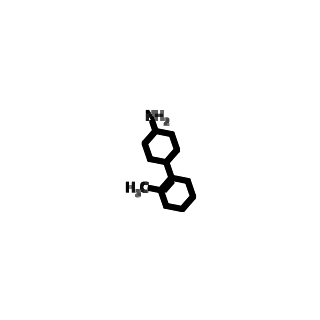 CC1=C(C2CCC(N)CC2)CCCC1